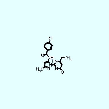 CCc1cc(=O)nc(-n2nc(C)cc2NC(=O)c2ccc(Cl)cc2)[nH]1